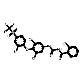 O=C(NC(=S)Nc1cc(Cl)c(Oc2ccc(S(=O)(=O)C(F)(F)F)cc2Br)c(Cl)c1)c1ccccc1Cl